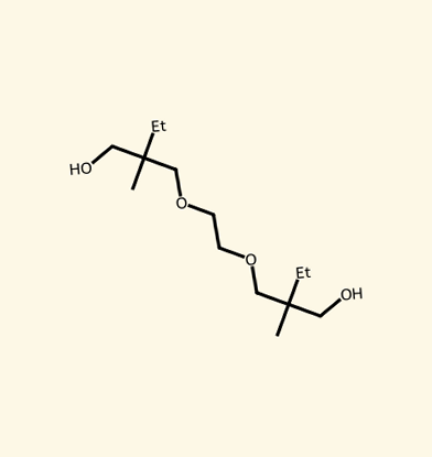 CCC(C)(CO)COCCOCC(C)(CC)CO